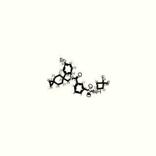 O=C(c1cccc(S(=O)(=O)NC2CC(F)(F)C2)c1)N1CC2(CCC3(CC3)CC2)c2cc(Br)ccc21